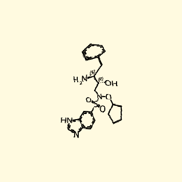 N[C@@H](Cc1ccccc1)[C@H](O)CN(OC1CCCC1)S(=O)(=O)c1ccc2nc[nH]c2c1